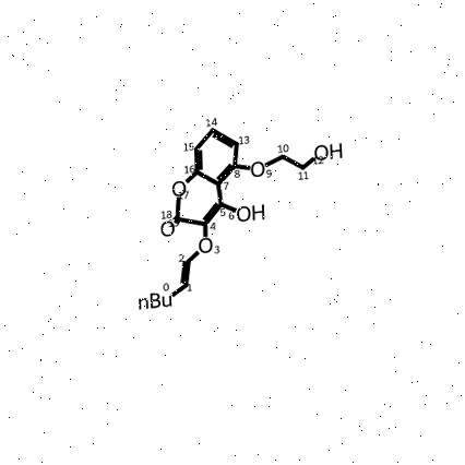 CCCCC=COc1c(O)c2c(OCCO)cccc2oc1=O